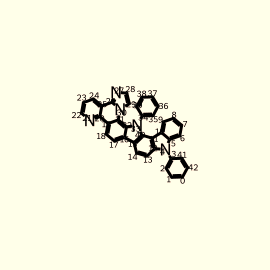 c1ccc(-n2c3ccccc3c3c2ccc2c4ccc5c6ncccc6c6nccn6c5c4n(-c4ccccc4)c23)cc1